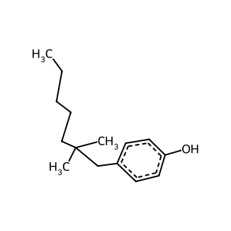 CCCCCC(C)(C)Cc1ccc(O)cc1